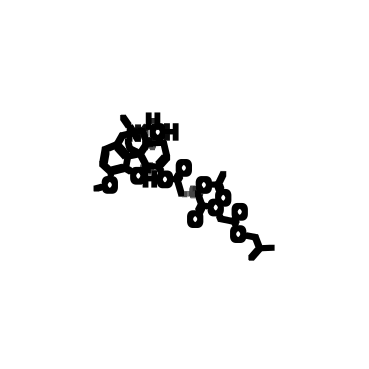 COc1ccc2c3c1O[C@H]1C(OC(=O)C[C@H](OC(C)=O)C(=O)OCC(=O)OCC(C)C)=CC[C@@]4(O)[C@@H](C2)N(C)CCC314